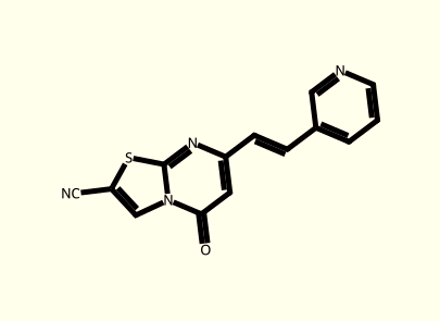 N#Cc1cn2c(=O)cc(/C=C/c3cccnc3)nc2s1